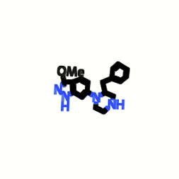 COc1n[nH]c2cc(N3CCNCC3Cc3ccccc3)ccc12